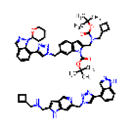 CC(C)(C)OC(=O)N(Cc1cc2ccc(Cn3cc(-c4cccc5cnn(C6CCCCO6)c45)nn3)cc2n1C(=O)OC(C)(C)C)CC1CCC1.c1cc(-c2cn(Cc3cc4[nH]c(CNCC5CCC5)cc4cn3)nn2)c2cn[nH]c2c1